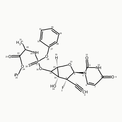 C#C[C@]1(F)[C@H](n2ccc(=O)[nH]c2=O)O[C@@H]2C(OP(=S)(NC(C)C(=O)OC(C)C)Oc3ccccc3)[C@@]21O